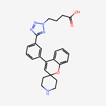 O=C(O)CCCn1nnc(-c2cccc(C3=CC4(CCNCC4)Oc4ccccc43)c2)n1